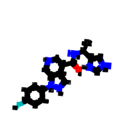 CC[C@H](NC(=O)c1cncc2c1cnn2-c1ccc(F)cc1)c1c[nH]cn1